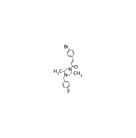 C[C@@H]1CN(Cc2ccc(F)cc2)[C@@H](C)CN1C(=O)/C=C/c1ccc(Br)cc1